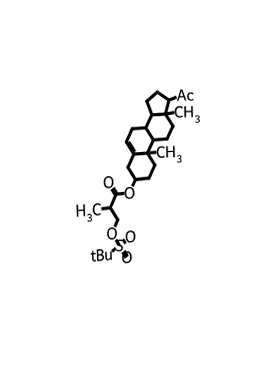 CC(=O)C1CCC2C3CC=C4CC(OC(=O)C(C)COS(=O)(=O)C(C)(C)C)CCC4(C)C3CCC12C